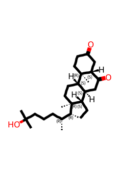 C[C@H](CCCC(C)(C)O)[C@H]1CC[C@H]2[C@@H]3CC(=O)[C@H]4CC(=O)CC[C@]4(C)[C@H]3CC[C@]12C